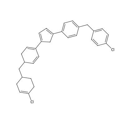 ClC1=CCC(CC2C=CC(C3=CC=C(c4ccc(Cc5ccc(Cl)cc5)cc4)C3)=CC2)CC1